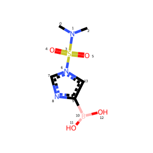 CN(C)S(=O)(=O)n1cnc(B(O)O)c1